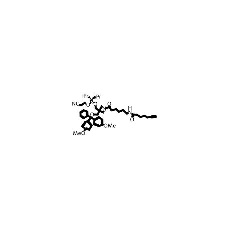 C#CCCCCC(=O)NCCCCCC(=O)N1CC(COP(OCCC#N)N(C(C)C)C(C)C)(COC(c2ccccc2)(c2ccc(OC)cc2)c2ccc(OC)cc2)C1